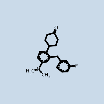 CN(C)c1ccc(C2CCC(=O)CC2)c(Cc2cccc(F)c2)c1